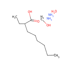 CCCCCCC(CC)C(=O)O.CO.N.N.O